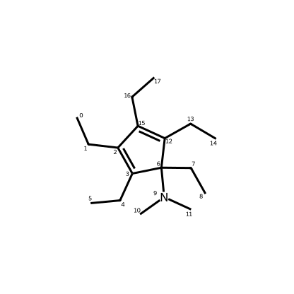 CCC1=C(CC)C(CC)(N(C)C)C(CC)=C1CC